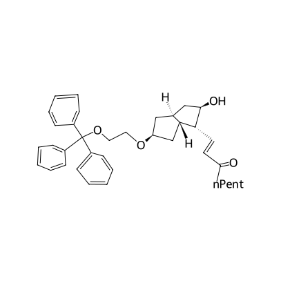 CCCCCC(=O)C=C[C@@H]1[C@@H]2C[C@@H](OCCOC(c3ccccc3)(c3ccccc3)c3ccccc3)C[C@H]2C[C@H]1O